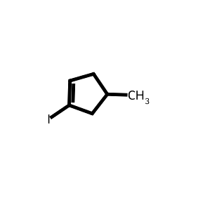 CC1CC=C(I)C1